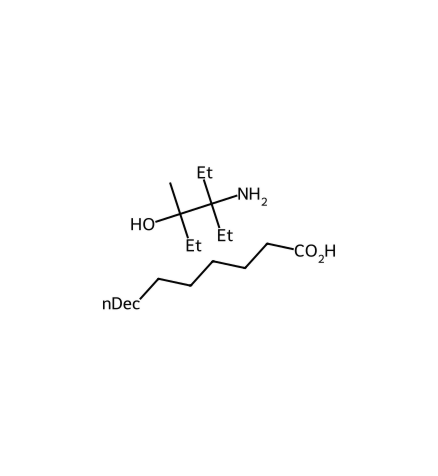 CCC(C)(O)C(N)(CC)CC.CCCCCCCCCCCCCCCC(=O)O